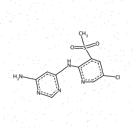 CS(=O)(=O)c1cc(Cl)cnc1Nc1cc(N)ncn1